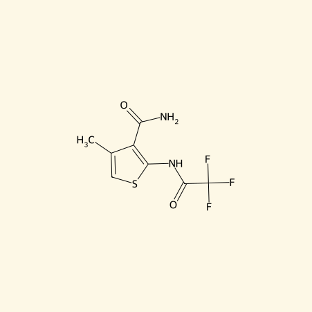 Cc1csc(NC(=O)C(F)(F)F)c1C(N)=O